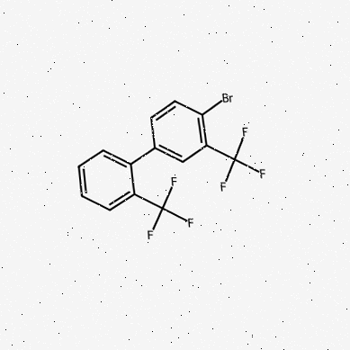 FC(F)(F)c1cc(-c2ccccc2C(F)(F)F)ccc1Br